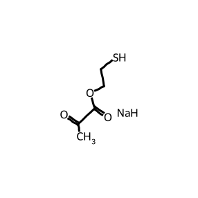 CC(=O)C(=O)OCCS.[NaH]